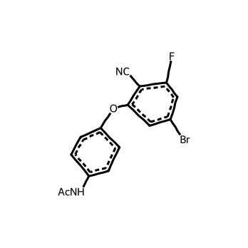 CC(=O)Nc1ccc(Oc2cc(Br)cc(F)c2C#N)cc1